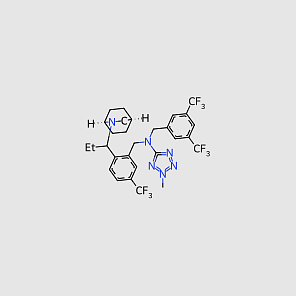 CCC(c1ccc(C(F)(F)F)cc1CN(Cc1cc(C(F)(F)F)cc(C(F)(F)F)c1)c1nnn(C)n1)N1C[C@H]2CC[C@@H]1CC2